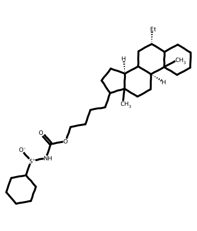 CC[C@H]1CC2[C@@H]3CCC(CCCCOC(=O)N[S+]([O-])C4CCCCC4)C3(C)CC[C@@H]2C2(C)CCCCC12